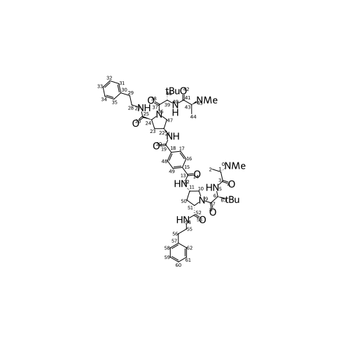 CN[C@@H](C)C(=O)N[C@H](C(=O)N1C[C@@H](NC(=O)c2ccc(C(=O)N[C@H]3C[C@@H](C(=O)NCCc4ccccc4)N(C(=O)[C@@H](NC(=O)[C@H](C)NC)C(C)(C)C)C3)cc2)C[C@H]1C(=O)NCCc1ccccc1)C(C)(C)C